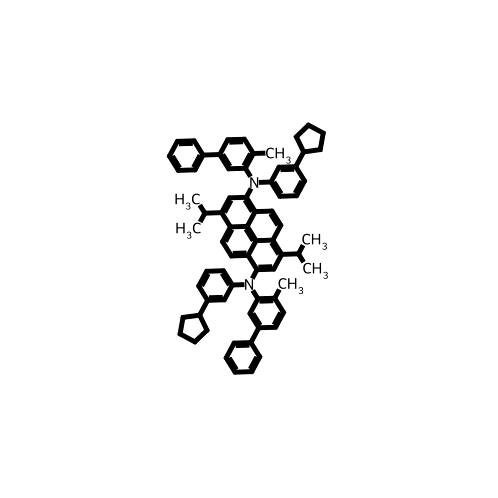 Cc1ccc(-c2ccccc2)cc1N(c1cccc(C2CCCC2)c1)c1cc(C(C)C)c2ccc3c(N(c4cccc(C5CCCC5)c4)c4cc(-c5ccccc5)ccc4C)cc(C(C)C)c4ccc1c2c43